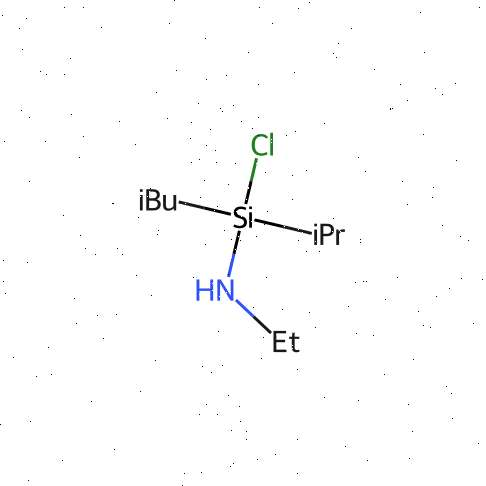 CCN[Si](Cl)(C(C)C)C(C)CC